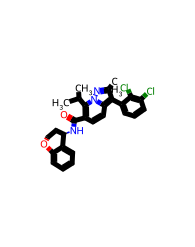 Cc1nn2c(C(C)C)c(C(=O)N[C@H]3CCOc4ccccc43)ccc2c1-c1cccc(Cl)c1Cl